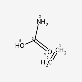 C=C.NC(=O)O